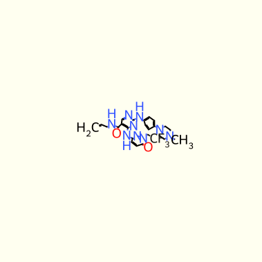 C=CCNC(=O)c1cnc(Nc2ccc(N3CCN(C)CC3)cc2)nc1Nc1ccc(=O)n(CC(F)(F)F)n1